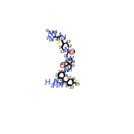 Cn1cnc(-c2cnc(C3=CCN(C(=O)CN4CC[C@]5(CCN(c6ccc(N)c(C(=N)c7ccc(F)cc7)c6)C5=O)C4)CC3)s2)n1